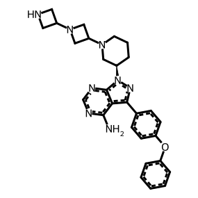 Nc1ncnc2c1c(-c1ccc(Oc3ccccc3)cc1)nn2[C@@H]1CCCN(C2CN(C3CNC3)C2)C1